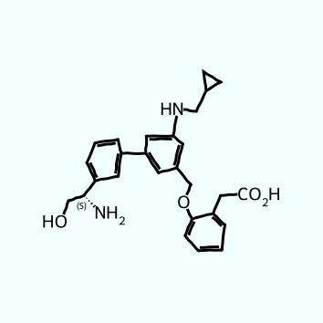 N[C@H](CO)c1cccc(-c2cc(COc3ccccc3CC(=O)O)cc(NCC3CC3)c2)c1